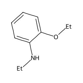 CCNc1ccccc1OCC